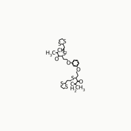 C=C(C)C(=O)C(CCOc1cccc(OCCC(SCCC2SCCS2)C(=O)C(=C)C)c1)SCCC1SCCS1